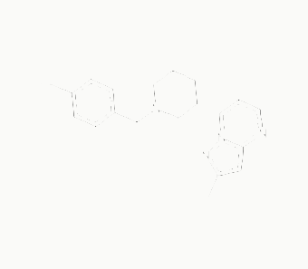 Cc1cc2nccc([C@H]3CCCN(Cc4ccc(Cl)cc4)C3)n2n1